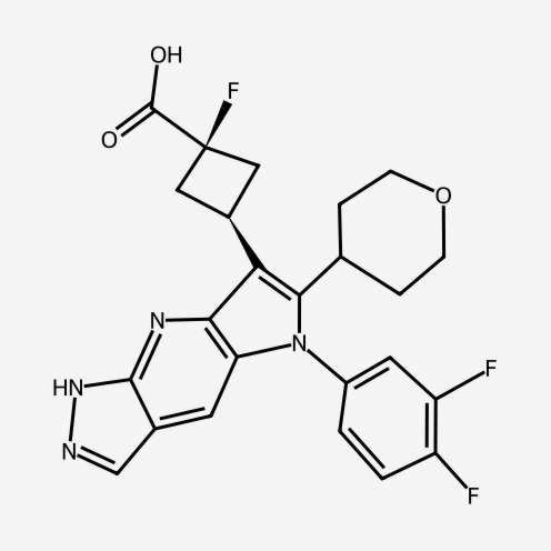 O=C(O)[C@]1(F)C[C@@H](c2c(C3CCOCC3)n(-c3ccc(F)c(F)c3)c3cc4cn[nH]c4nc32)C1